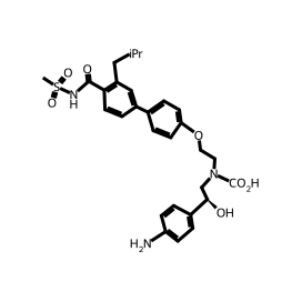 CC(C)Cc1cc(-c2ccc(OCCN(C[C@@H](O)c3ccc(N)cc3)C(=O)O)cc2)ccc1C(=O)NS(C)(=O)=O